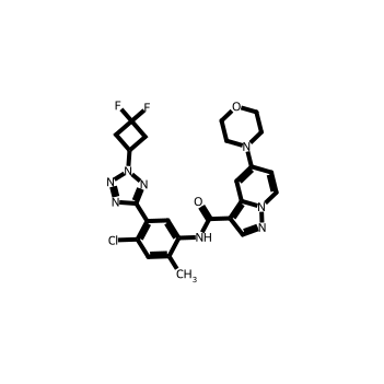 Cc1cc(Cl)c(-c2nnn(C3CC(F)(F)C3)n2)cc1NC(=O)c1cnn2ccc(N3CCOCC3)cc12